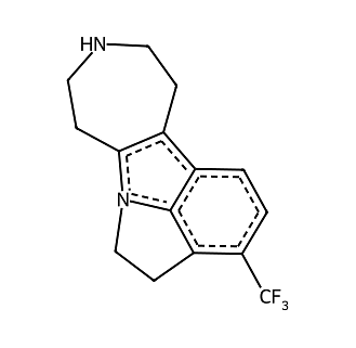 FC(F)(F)c1ccc2c3c(n4c2c1CC4)CCNCC3